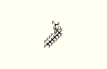 O=S(=O)(OC(F)F)C(F)(F)C(F)(F)C(F)(F)C(F)(F)C(F)(F)C(F)(F)F